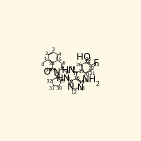 Cc1cccc2cc(CNc3ncnc(N)c3C(=N)c3ccc(F)c(O)c3)n(C3CCCC3)c(=O)c12